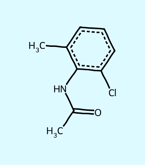 CC(=O)Nc1c(C)cccc1Cl